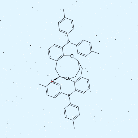 Cc1ccc(P(c2ccc(C)cc2)c2cccc3c2OC2CCC[C@H](C3)Oc3c(cccc3P(c3ccc(C)cc3)c3ccc(C)cc3)C2)cc1